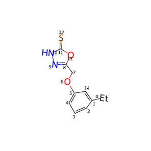 CCc1cccc(OCc2n[nH]c(=S)o2)c1